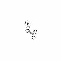 CC(C)(C)OC(=O)N1CCc2c(cccc2NN=C(c2ccccc2)c2ccccc2)C1